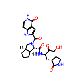 O=C(CO)C(C[C@@H]1CCNC1=O)NC(=O)[C@@H]1[C@H]2CCC[C@H]2CN1C(=O)c1cc2c(=O)[nH]ccc2[nH]1